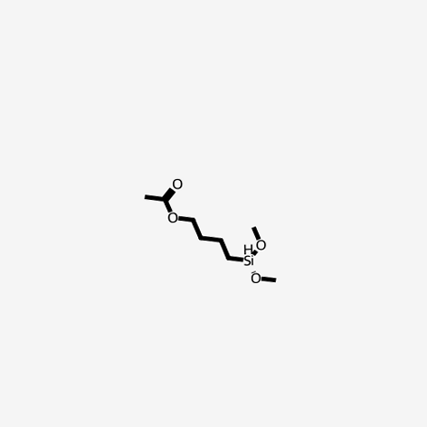 CO[SiH](CCCCOC(C)=O)OC